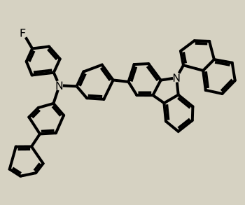 Fc1ccc(N(c2ccc(-c3ccccc3)cc2)c2ccc(-c3ccc4c(c3)c3ccccc3n4-c3cccc4ccccc34)cc2)cc1